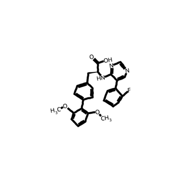 COc1cccc(OC)c1-c1ccc(C[C@H](Nc2ncncc2-c2ccccc2F)C(=O)O)cc1